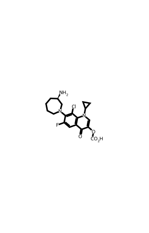 N[C@@H]1CCCCN(c2c(F)cc3c(=O)c(OC(=O)O)cn(C4CC4)c3c2Cl)C1